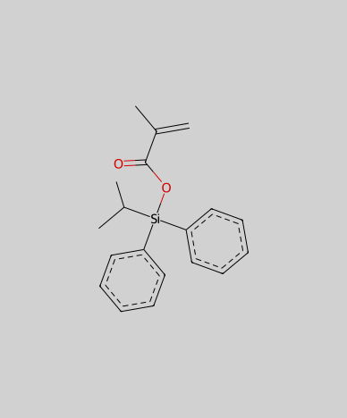 C=C(C)C(=O)O[Si](c1ccccc1)(c1ccccc1)C(C)C